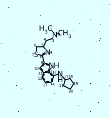 CN(C)CCC1CSC(c2cc3cccc(NC4CCCC4)c3[nH]2)=N1